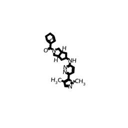 Cc1cnn(C)c1-c1ccc(NC2C[C@@H]3CN(C(=O)C4CC5CCC4O5)C[C@@H]3C2)nn1